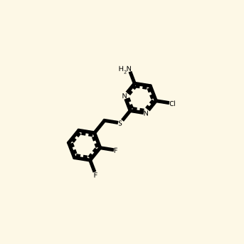 Nc1cc(Cl)nc(SCc2cccc(F)c2F)n1